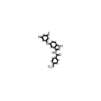 O=C(Nc1n[nH]c2ccc(Oc3cc(F)cc(F)c3)cc12)c1ccc([N+](=O)[O-])cc1